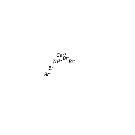 [Br-].[Br-].[Br-].[Br-].[Ca+2].[Zn+2]